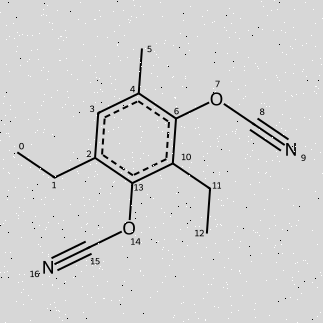 CCc1cc(C)c(OC#N)c(CC)c1OC#N